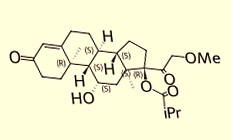 COCC(=O)[C@@]1(OC(=O)C(C)C)CC[C@H]2[C@@H]3CCC4=CC(=O)CC[C@]4(C)[C@H]3[C@@H](O)C[C@@]21C